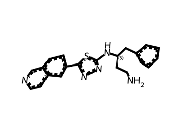 NCC[C@H](Cc1ccccc1)Nc1nnc(-c2ccc3cnccc3c2)s1